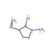 C=CC1CCN(C)C1C(C)=O